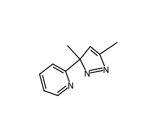 CC1=CC(C)(c2ccccn2)N=N1